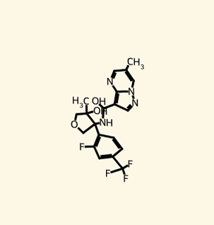 Cc1cnc2c(C(O)NC3(c4ccc(C(F)(F)F)cc4F)COCC3(C)O)cnn2c1